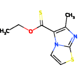 CCOC(=S)c1c(C)nc2sccn12